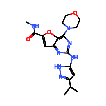 CNC(=O)c1cc2nc(Nc3cc(C(C)C)n[nH]3)nc(N3CCOCC3)c2o1